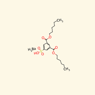 CCCCCCOC(=O)c1cc(C(=O)OCCCCCC)cc(S(=O)(=O)O)c1.[BaH2]